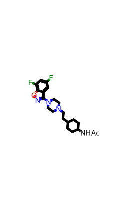 CC(=O)NC1CCC(CCN2CCN(c3noc4c(F)cc(F)cc34)CC2)CC1